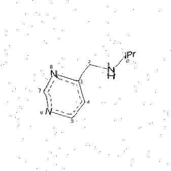 CC(C)NCc1ccncn1